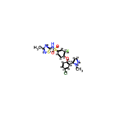 Cc1nsc(NS(=O)(=O)c2ccc(Oc3ccc(Cl)cc3-c3ccnn3C)c(F)c2)n1